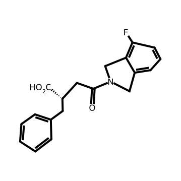 O=C(O)[C@H](CC(=O)N1Cc2cccc(F)c2C1)Cc1ccccc1